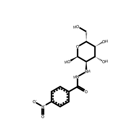 O=C(NN[C@@H]1[C@@H](O)[C@@H](O)[C@@H](CO)O[C@@H]1O)c1ccc([N+](=O)[O-])cc1